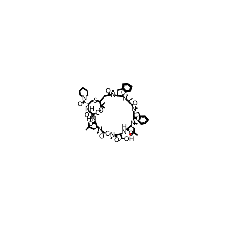 CC(C)C[C@H]1C(=O)N[C@H]2COC(C)(C)C(CC(=O)N(C)[C@@H](Cc3ccccc3)C(=O)N(C)[C@@H](C)C(=O)N(C)[C@@H](Cc3ccccc3)C(=O)N(C)[C@@H](CC(C)C)C(=O)N[C@@H]([C@@H](C)O)C(=O)N(C)CC(=O)N1C)SC[C@@H](C(=O)N1CCCCC1)NC2=O